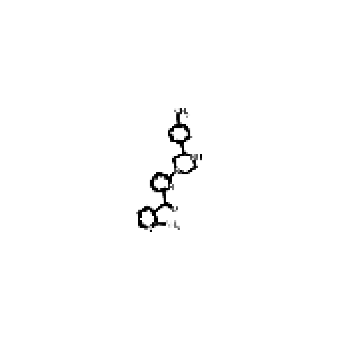 Cc1ccc(C2CN(c3cccc(C(=O)c4cccnc4N)n3)CCN2)cc1